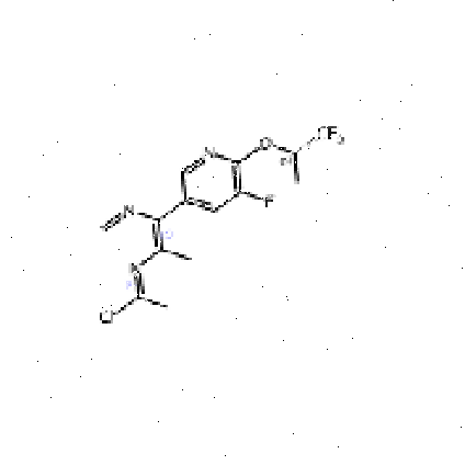 C=N/C(=C(C)\N=C(/C)Cl)c1cnc(O[C@@H](C)C(F)(F)F)c(F)c1